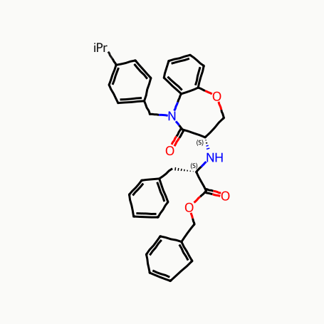 CC(C)c1ccc(CN2C(=O)[C@@H](N[C@@H](Cc3ccccc3)C(=O)OCc3ccccc3)COc3ccccc32)cc1